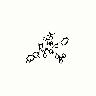 CC(C)(C)OC(=O)NC[C@@H](C(=O)Nc1cc2ccncc2s1)[C@@H]1C[C@@H](CO[N+](=O)[O-])C1C(=O)OCc1ccccc1